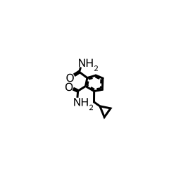 NC(=O)c1cccc(CC2CC2)c1C(N)=O